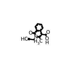 C#CCn1c(C)c(C(=O)O)c2ccccc2c1=O